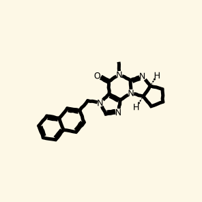 CN1C(=O)c2c(ncn2Cc2ccc3ccccc3c2)N2C1=N[C@H]1CCC[C@H]12